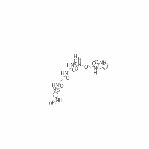 CCCN[C@H]1CCc2nc(NC(=O)CCCC(=O)NCCC(=O)N[C@@H](C)C(=O)NCCOCCC(=O)N[C@@H](Cc3ccccc3)C(N)=O)sc2C1